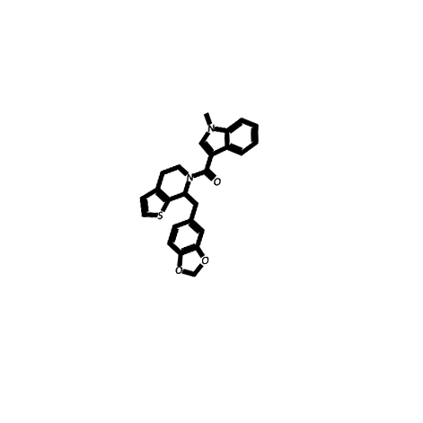 Cn1cc(C(=O)N2CCc3ccsc3C2Cc2ccc3c(c2)OCO3)c2ccccc21